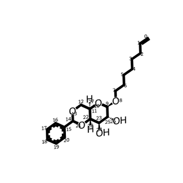 C=CCCCCCCO[C@@H]1O[C@@H]2COC(c3ccccc3)O[C@H]2[C@H](O)[C@H]1O